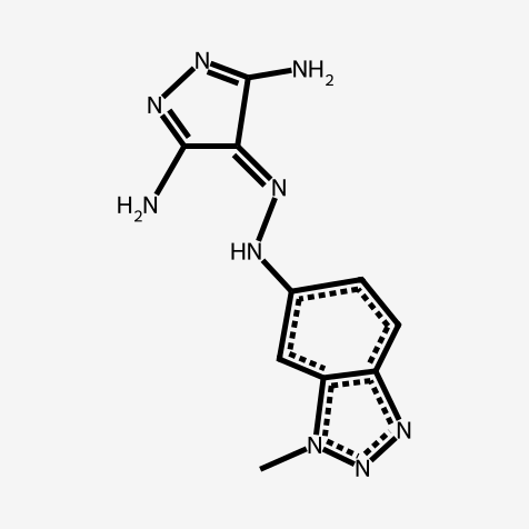 Cn1nnc2ccc(NN=C3C(N)=NN=C3N)cc21